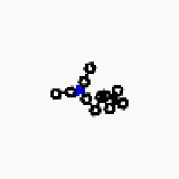 c1ccc(-c2ccc(N(c3ccc(-c4ccccc4)cc3)c3ccc(-c4ccccc4-c4ccccc4-c4ccccc4[Si](c4ccccc4)(c4ccccc4)c4ccccc4)cc3)cc2)cc1